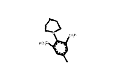 Cc1cc(C(=O)O)c(N2CCCCC2)c(C(=O)O)c1